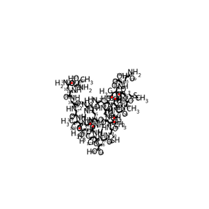 CC[C@H](C)[C@H](NC(=O)[C@H](CCSC)NC(=O)[C@H](C)NC(=O)[C@H](CC(N)=O)NC(=O)[C@@H](NC(=O)[C@H](CC(N)=O)NC(=O)CNC(=O)[C@@H](NC(=O)[C@H](CS)NC(=O)[C@H](CCC(=O)O)NC(=O)[C@@H](NC(=O)[C@H](CO)NC(=O)[C@H](CCCNC(=N)N)NC(=O)[C@H](CC(=O)O)NC(=O)[C@@H](NC(=O)CNC(=O)CNC(=O)[C@H](CC(N)=O)NC(=O)[C@@H](N)[C@@H](C)O)C(C)C)C(C)C)[C@@H](C)O)[C@@H](C)CC)C(=O)N[C@@H](CCC(N)=O)C(=O)O